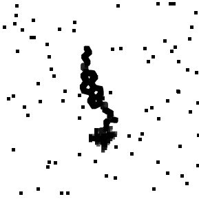 CCCCOc1ccc2c(c1)CCC1C2CC[C@@]2(C)C1CC[C@@H]2OCCN(C)CCOC(C(F)(F)F)(C(F)(F)F)C(F)(F)F